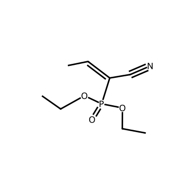 CC=C(C#N)P(=O)(OCC)OCC